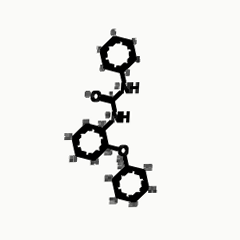 O=C(Nc1ccccc1)Nc1ccccc1Oc1ccccc1